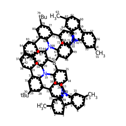 Cc1ccc2c3ccc(C)cc3n(-c3ccc4c(c3)N(c3c(-c5ccccc5)cc(C(C)(C)C)cc3-c3ccccc3)c3cc(C(C)C)cc5c3B4c3ccc(-n4c6cc(C)ccc6c6ccc(C)cc64)cc3N5c3c(-c4ccccc4)cc(C(C)(C)C)cc3-c3ccccc3)c2c1